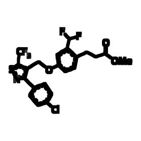 COC(=O)CCc1ccc(OCc2c(-c3ccc(Cl)cc3)nsc2C(F)(F)F)cc1C(F)F